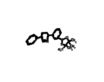 CC1(C)OB(c2cccc(-c3ccc(-c4ccccc4)cn3)c2)OC1(C)C